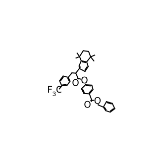 CC1(C)CCC(C)(C)c2cc(C(Cc3ccc(C(F)(F)F)cc3)C(=O)Oc3ccc(C(=O)OCc4ccccc4)cc3)ccc21